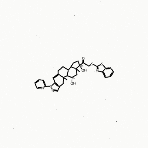 CC12Cc3cnn(-c4ccccn4)c3C=C1CCC1C2[C@@H](O)CC2(C)C1CC[C@]2(O)C(=O)CSc1nc2ccccc2s1